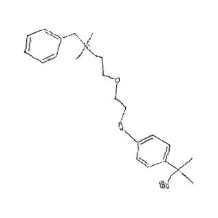 CC(C)(C)C(C)(C)c1ccc(OCCOCC[N+](C)(C)Cc2ccccc2)cc1